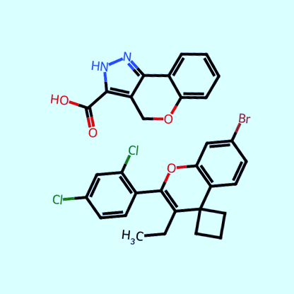 CCC1=C(c2ccc(Cl)cc2Cl)Oc2cc(Br)ccc2C12CCC2.O=C(O)c1[nH]nc2c1COc1ccccc1-2